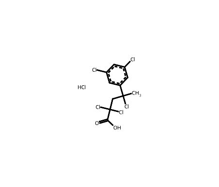 CC(Cl)(CC(Cl)(Cl)C(=O)O)c1cc(Cl)cc(Cl)c1.Cl